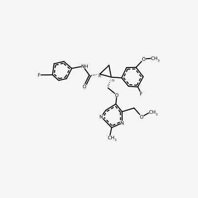 COCc1nc(C)ncc1OC[C@@]1(c2cc(F)cc(OC)c2)C[C@H]1C(=O)Nc1ccc(F)cc1